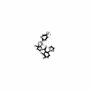 O=C(c1c(-n2nccn2)ccc(F)c1F)N1CCC(F)(F)[C@H]1CNc1ccc(C(F)(F)F)cn1